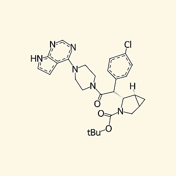 CC(C)(C)OC(=O)N1CC2C[C@@H]2[C@H]1C(C(=O)N1CCN(c2ncnc3[nH]ccc23)CC1)c1ccc(Cl)cc1